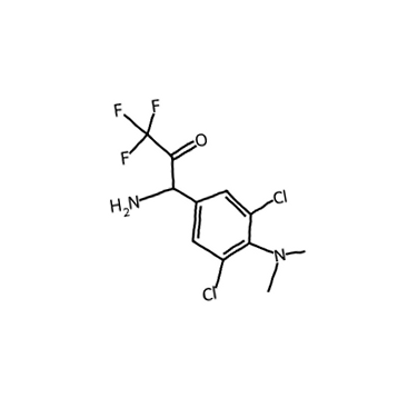 CN(C)c1c(Cl)cc(C(N)C(=O)C(F)(F)F)cc1Cl